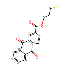 O=C(OCCCS)c1ccc2c(c1)C(=O)c1ccccc1C2=O